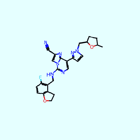 CC1CCC(Cn2ccc(-c3cnc(NCc4c(F)ccc5c4CCO5)n4cc(C#N)nc34)n2)O1